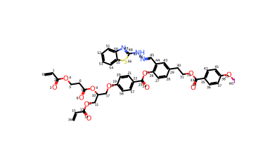 C=CC(=O)OCCC(=O)OC(COC(=O)C=C)COc1ccc(C(=O)Oc2ccc(CCOC(=O)c3ccc(OI)cc3)cc2/C=N/Nc2nc3ccccc3s2)cc1